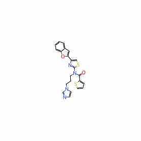 O=C(c1cccs1)N(CCCn1ccnc1)c1nc(-c2cc3ccccc3o2)cs1